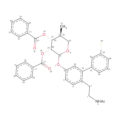 CC(=O)NCCc1ccc(OC2OC[C@H](C)[C@@H](OC(=O)c3ccccc3)[C@H]2OC(=O)c2ccccc2)cc1-c1cccc(F)c1